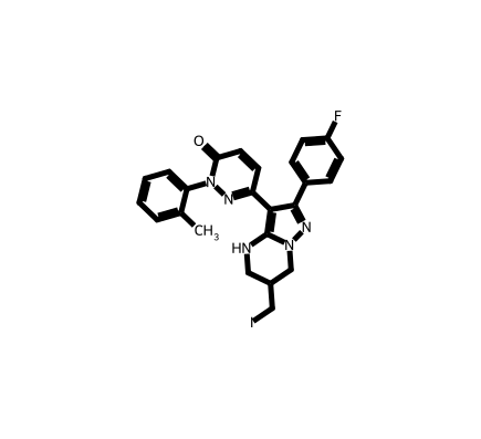 Cc1ccccc1-n1nc(-c2c(-c3ccc(F)cc3)nn3c2NCC(CI)C3)ccc1=O